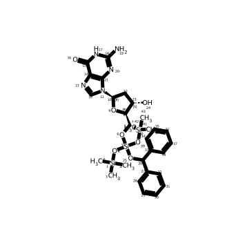 C[Si](C)(C)O[Si](OC[C@H]1O[C@@H](n2cnc3c(=O)[nH]c(N)nc32)C[C@@H]1O)(OC(c1ccccc1)c1ccccc1)O[Si](C)(C)C